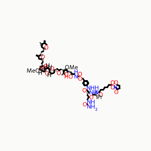 C=C1CO[C@@H](CC[C@@H]2O[C@@H](CC[C@]34C[C@@H](OC)[C@H](O3)C3O[C@H]5CC[C@H](CC(=O)C[C@@H]6[C@@H](OC)[C@@H](C[C@H](O)CNC(=O)OCc7ccc(NC(=O)[C@H](CCCNC(N)=O)NC(=O)[C@@H](NC(=O)CCCCCC(=O)ON8C(=O)CCC8=O)C(C)C)cc7)O[C@H]6C)O[C@@H]5[C@H](O4)[C@@H]3C)CC2=C)C[C@H]1C